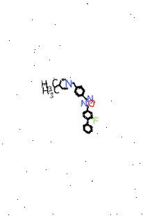 CC1(C)CCN(Cc2ccc(-c3noc(-c4ccc(-c5ccccc5)c(F)c4)n3)cc2)CC1